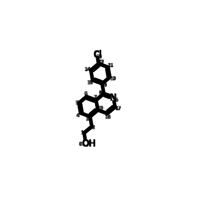 OCCc1cccc2c(-c3ccc(Cl)cc3)nccc12